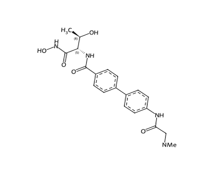 CNCC(=O)Nc1ccc(-c2ccc(C(=O)N[C@H](C(=O)NO)[C@@H](C)O)cc2)cc1